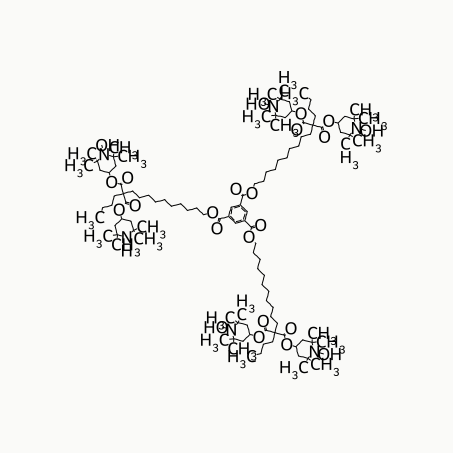 CCCCC(CCCCCCCCCCOC(=O)c1cc(C(=O)OCCCCCCCCCCCC(CCCC)(C(=O)OC2CC(C)(C)N(O)C(C)(C)C2)C(=O)OC2CC(C)(C)N(O)C(C)(C)C2)cc(C(=O)OCCCCCCCCCCC(CCCC)(C(=O)OC2CC(C)(C)N(O)C(C)(C)C2)C(=O)OC2CC(C)(C)N(O)C(C)(C)C2)c1)(C(=O)OC1CC(C)(C)NC(C)(C)C1)C(=O)OC1CC(C)(C)N(O)C(C)(C)C1